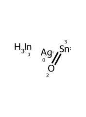 [Ag].[InH3].[O]=[Sn]